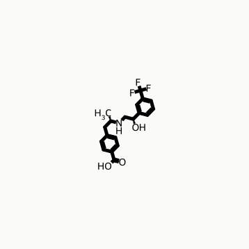 C[C@H](Cc1ccc(C(=O)O)cc1)NC[C@H](O)c1cccc(C(F)(F)F)c1